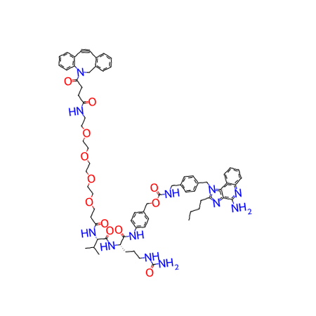 CCCCc1nc2c(N)nc3ccccc3c2n1Cc1ccc(CNC(=O)OCc2ccc(NC(=O)[C@H](CCCNC(N)=O)NC(=O)[C@@H](NC(=O)CCOCCOCCOCCOCCNC(=O)CCC(=O)N3Cc4ccccc4C#Cc4ccccc43)C(C)C)cc2)cc1